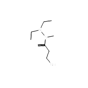 CCN(CC)N(C)C(=O)CCN